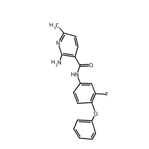 Cc1ccc(C(=O)Nc2ccc(Oc3ccccc3)c(F)c2)c(N)n1